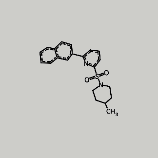 CC1CCN(S(=O)(=O)c2cccc(-c3ccc4ccccc4c3)n2)CC1